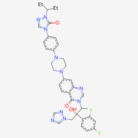 CCC(CC)n1ncn(-c2ccc(N3CCN(c4ccc5c(=O)n(C(C)C(O)(Cn6cncn6)c6ccc(F)cc6F)cnc5c4)CC3)cc2)c1=O